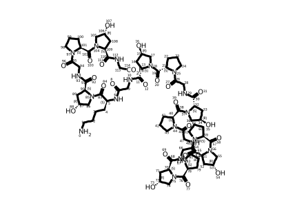 NCCCC[C@H](NC(=O)CNC(=O)[C@@H]1C[C@@H](O)CN1C(=O)[C@@H]1CCCN1C(=O)CNC(=O)[C@@H]1C[C@@H](O)CN1C(=O)[C@@H]1CCCN1C(=O)CNC(=O)[C@@H]1C[C@@H](O)CN1C(=O)[C@@H]1CCCN1C(=O)CNC(=O)[C@@H]1C[C@@H](O)CN1C(=O)[C@@H]1CCCN1)C(=O)N1C[C@H](O)C[C@H]1C(=O)NCC(=O)N1CCC[C@H]1C(=O)N1C[C@H](O)C[C@H]1C(=O)NCC(=O)O